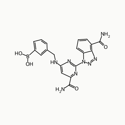 NC(=O)c1cc(NCc2cccc(B(O)O)c2)nc(-n2nnc3c(C(N)=O)cccc32)n1